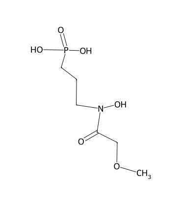 COCC(=O)N(O)CCCP(=O)(O)O